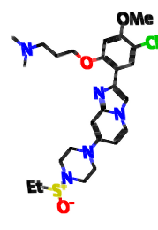 CC[S+]([O-])N1CCN(c2ccn3cc(-c4cc(Cl)c(OC)cc4OCCCN(C)C)nc3c2)CC1